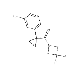 O=C(N1CC(F)(F)C1)C1(c2cncc(Cl)c2)CC1